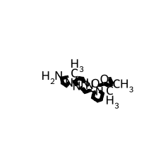 Cc1cn2nc([C@@H]3CCCCN3C(=O)c3occ(C)c3C)cc2nc1N1CC[C@H](N)C1